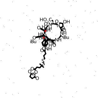 CCC(C)[C@H]1CN[C@H]2Cc3c([nH]c4ccc(NC(=O)CCCSSC(C)(C)CCC(=O)ON5C(=O)CCC5=O)cc34)SC[C@H](NC(=O)CNC(=O)[C@H]([C@@H](C)CC)CNC(=O)CNC2=O)C(=O)N[C@@H](CC(=O)O)C(=O)N2C[C@H](O)C[C@H]2C(=O)N1